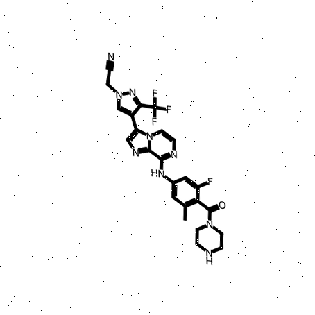 Cc1cc(Nc2nccn3c(-c4cn(CC#N)nc4C(F)(F)F)cnc23)cc(F)c1C(=O)N1CCNCC1